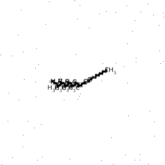 CCCCCCCCCCOCOCCCC(C)CC(C)CC(C)CC(C)CC(C)CC(C)CC(C)CCCI